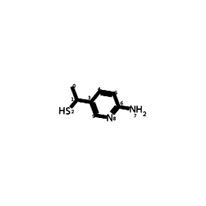 CC(S)c1ccc(N)nc1